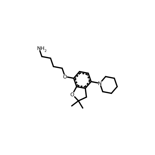 CC1(C)Cc2c(N3CCCCC3)ccc(OCCCCN)c2O1